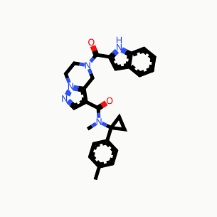 Cc1ccc(C2(N(C)C(=O)c3cnn4c3CN(C(=O)c3cc5ccccc5[nH]3)CC4)CC2)cc1